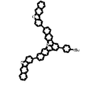 CC(C)(C)c1ccc(-c2cc3c4cc5ccc(-c6ccc7oc8cc9ccccc9cc8c7c6)cc5cc4n4c5cc6cc(-c7ccc8oc9cc%10ccccc%10cc9c8c7)ccc6cc5c(c2)c34)cc1